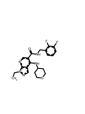 CCn1ncc2c(NC3CCOCC3)c(C(=O)NCc3cccc(F)c3F)cnc21